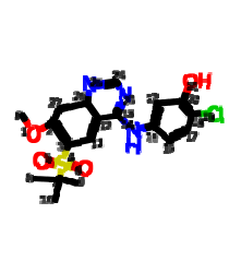 COC1=C(S(=O)(=O)C(C)(C)C)C=C2C(Nc3ccc(Cl)c(O)c3)=NC=NC2C1